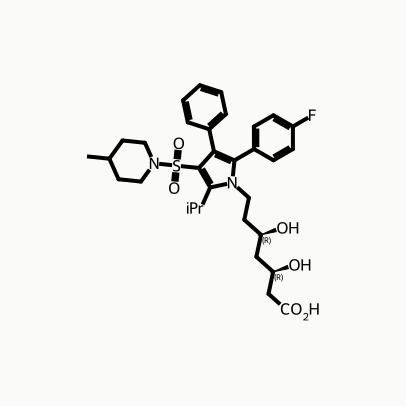 CC1CCN(S(=O)(=O)c2c(-c3ccccc3)c(-c3ccc(F)cc3)n(CC[C@@H](O)C[C@@H](O)CC(=O)O)c2C(C)C)CC1